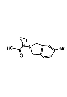 CN(C(=O)O)N1Cc2ccc(Br)cc2C1